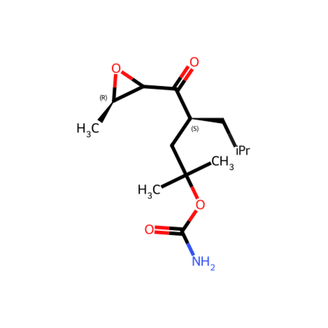 CC(C)C[C@@H](CC(C)(C)OC(N)=O)C(=O)C1O[C@@H]1C